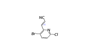 N#C/C=C/c1nc(Cl)ccc1Br